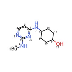 CCCCNc1nccc(NC2CCC(O)CC2)n1